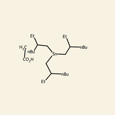 CC(=O)O.CCCCC(CC)[CH2][Sn]([CH2]C(CC)CCCC)[CH2]C(CC)CCCC